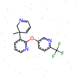 CC1(c2cccnc2Oc2ccc(C(F)(F)F)nc2)C=CC=NC1